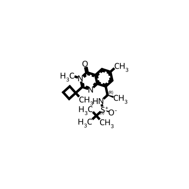 Cc1cc([C@@H](C)N[S@+]([O-])C(C)(C)C)c2nc(C3(C)CCC3)n(C)c(=O)c2c1